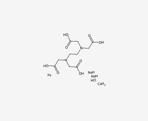 Cl.O=C(O)CN(CCN(CC(=O)O)CC(=O)O)CC(=O)O.[CaH2].[Fe].[NaH].[NaH]